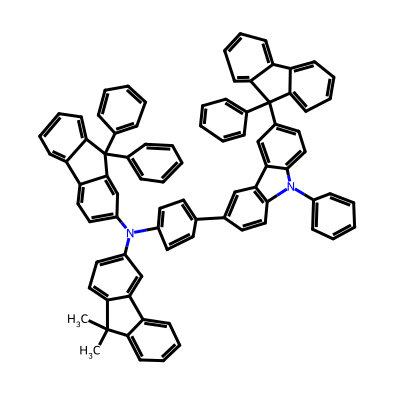 CC1(C)c2ccccc2-c2cc(N(c3ccc(-c4ccc5c(c4)c4cc(C6(c7ccccc7)c7ccccc7-c7ccccc76)ccc4n5-c4ccccc4)cc3)c3ccc4c(c3)C(c3ccccc3)(c3ccccc3)c3ccccc3-4)ccc21